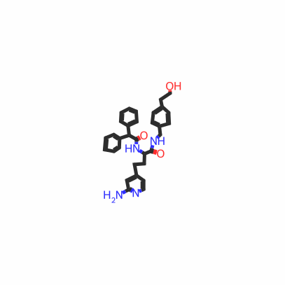 Nc1cc(CCC(NC(=O)C(c2ccccc2)c2ccccc2)C(=O)NCc2ccc(CCO)cc2)ccn1